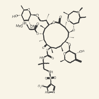 C=C1C[C@@H](C)O[C@@H](O[C@@H]2[C@@H](C)[C@H](O[C@H]3CC(C)N(C)C[C@H](C)O3)[C@@H](C)C(=O)O[C@H]([C@@H](C)CO[C@@H]3O[C@H](C)[C@@H](O)[C@@H](OC)[C@H]3OC)[C@H](C)[C@@H](OC(=O)CC(C)C)[C@@H](C)C(=O)[C@@](C)(OC(=O)NC(C)(C)CNS(=O)(=O)c3cn[nH]c3[N+](=O)[O-])C[C@@H]2C)[C@@H]1O